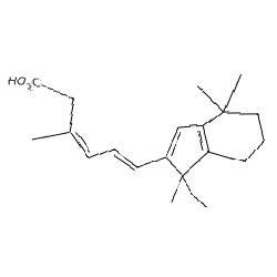 CC(=CC=CC1=CC2=C(CCCC2(C)C)C1(C)C)CC(=O)O